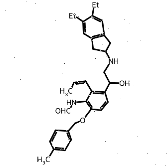 C/C=C\c1c(C(O)CNC2Cc3cc(CC)c(CC)cc3C2)ccc(OCc2ccc(C)cc2)c1NC=O